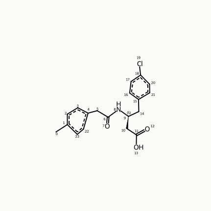 Cc1ccc(CC(=O)N[C@H](CC(=O)O)Cc2ccc(Cl)cc2)cc1